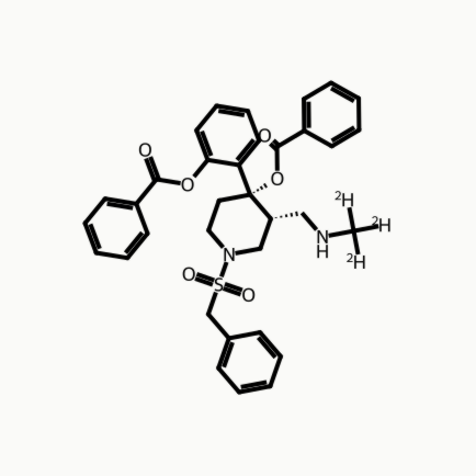 [2H]C([2H])([2H])NC[C@@H]1CN(S(=O)(=O)Cc2ccccc2)CC[C@@]1(OC(=O)c1ccccc1)c1ccccc1OC(=O)c1ccccc1